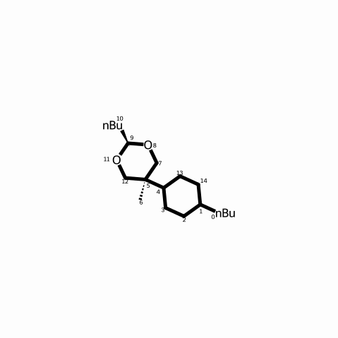 CCCCC1CCC([C@]2(C)CO[C@H](CCCC)OC2)CC1